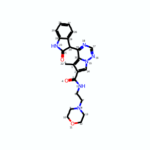 Cc1c(C(=O)NCCN2CCOCC2)cn2ncnc(C3C(=O)Nc4ccccc43)c12